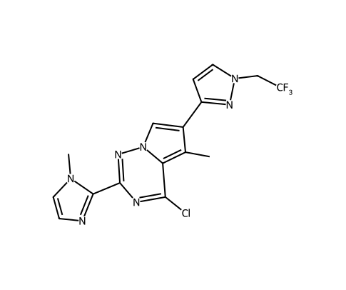 Cc1c(-c2ccn(CC(F)(F)F)n2)cn2nc(-c3nccn3C)nc(Cl)c12